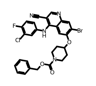 N#Cc1cnc2cc(Br)c(OC3CCN(C(=O)OCc4ccccc4)CC3)cc2c1Nc1ccc(F)c(Cl)c1